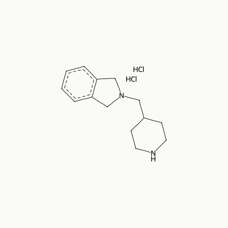 Cl.Cl.c1ccc2c(c1)CN(CC1CCNCC1)C2